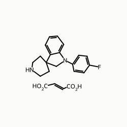 Fc1ccc(N2CC3(CCNCC3)c3ccccc32)cc1.O=C(O)C=CC(=O)O